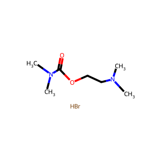 Br.CN(C)CCOC(=O)N(C)C